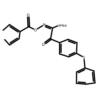 C/C=C\C(=C/C)C(=O)O/N=C(/CCCCCC)C(=O)c1ccc(Sc2ccccc2)cc1